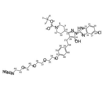 CC(C)(C)OC(=O)N1CCC(c2nn(-c3nc4cc(Cl)ccc4[nH]3)c(O)c2CCc2ccc(OCCOCCOCCOCCN=[N+]=[N-])cc2)CC1